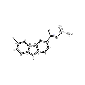 C/C(=N\[S@+]([O-])C(C)(C)C)c1ccc2sc3ccc(C)cc3c2c1